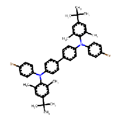 Cc1cc(C(C)(C)C)cc(C)c1N(c1ccc(Br)cc1)c1ccc(-c2ccc(N(c3ccc(Br)cc3)c3c(C)cc(C(C)(C)C)cc3C)cc2)cc1